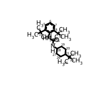 CC(C)(C)c1cccc(C(C)(C)C)c1NC(=O)NC1CCC(C(C)(C)C)CC1